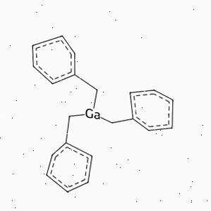 c1ccc([CH2][Ga]([CH2]c2ccccc2)[CH2]c2ccccc2)cc1